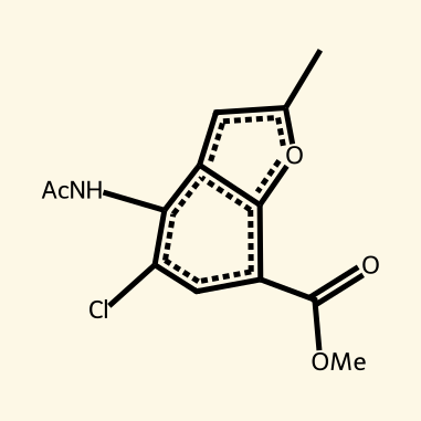 COC(=O)c1cc(Cl)c(NC(C)=O)c2cc(C)oc12